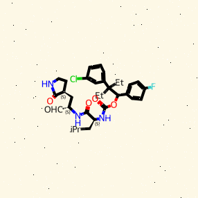 CCC(CC)(c1cccc(Cl)c1)C(OC(=O)N[C@@H](CC(C)C)C(=O)N[C@H](C=O)C[C@@H]1CCNC1=O)c1ccc(F)cc1